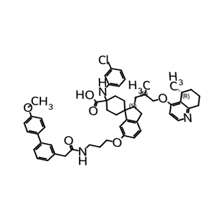 COc1ccc(-c2cccc(CC(=O)NCCCOc3ccc4c(c3)C3(CCC(Nc5cccc(Cl)c5)(C(=O)O)CC3)[C@@H](C[C@@H](C)COc3ccnc5c3[C@H](C)CCC5)C4)c2)cc1